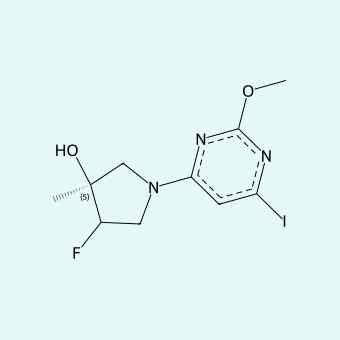 COc1nc(I)cc(N2CC(F)[C@@](C)(O)C2)n1